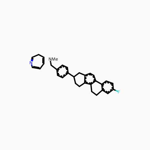 C1=CCC=NC=C1.CNCc1ccc(C2CCc3c(ccc4c3CCc3cc(F)ccc3-4)C2)cc1